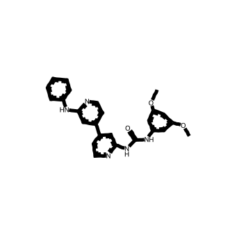 COc1cc(NC(=O)Nc2cc(-c3ccnc(Nc4ccccc4)c3)ccn2)cc(OC)c1